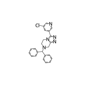 Clc1cncc(-c2nnc3n2CCN(C(c2ccccc2)c2ccccc2)C3)c1